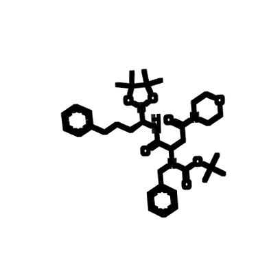 CC(C)(C)OC(=O)N(Cc1ccccc1)C(CC(=O)N1CCOCC1)C(=O)N[C@@H](CCCc1ccccc1)B1OC(C)(C)C(C)(C)O1